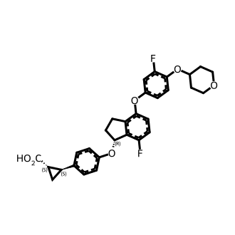 O=C(O)[C@H]1C[C@@H]1c1ccc(O[C@@H]2CCc3c(Oc4ccc(OC5CCOCC5)c(F)c4)ccc(F)c32)cc1